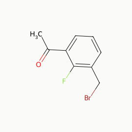 CC(=O)c1cccc(CBr)c1F